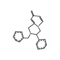 C=C1C=CN2CC(c3ccccc3)N(Cc3ccccc3)CC2=C1